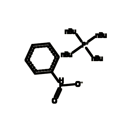 CCCC[P+](CCCC)(CCCC)CCCC.O=[PH]([O-])c1ccccc1